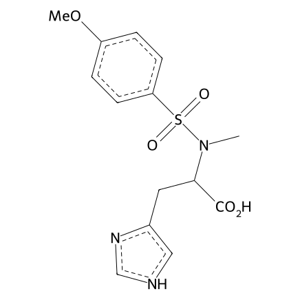 COc1ccc(S(=O)(=O)N(C)C(Cc2c[nH]cn2)C(=O)O)cc1